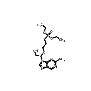 CCOP(=O)(CCCO[C@H](CO)n1cnc2cnc(N)nc21)OCC